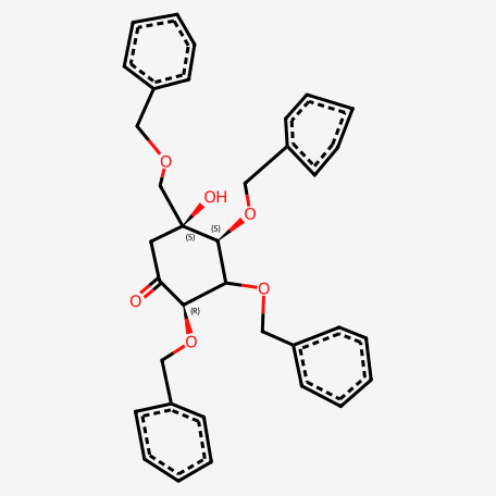 O=C1C[C@](O)(COCc2ccccc2)[C@@H](OCc2ccccc2)C(OCc2ccccc2)[C@H]1OCc1ccccc1